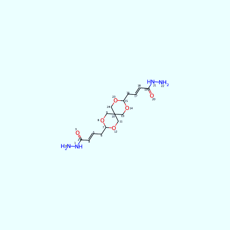 NNC(=O)C=CCC1OCC2(CO1)COC(CC=CC(=O)NN)OC2